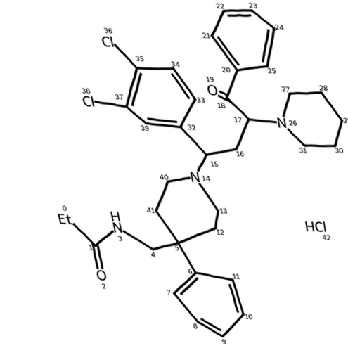 CCC(=O)NCC1(c2ccccc2)CCN(C(CC(C(=O)c2ccccc2)N2CCCCC2)c2ccc(Cl)c(Cl)c2)CC1.Cl